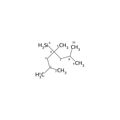 CC(C)CC(C)([SiH3])CC(C)C